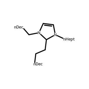 CCCCCCCCCCCCC1N(CCCCCCC)C=CN1CCCCCCCCCCC